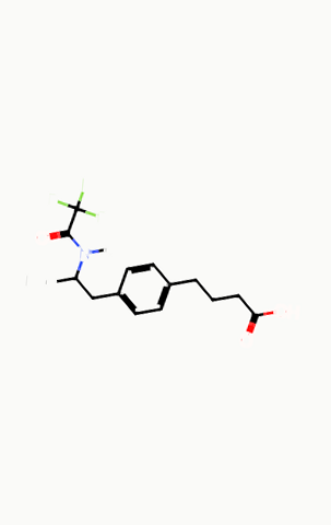 CC(Cc1ccc(CCCC(=O)O)cc1)N(C)C(=O)C(F)(F)F